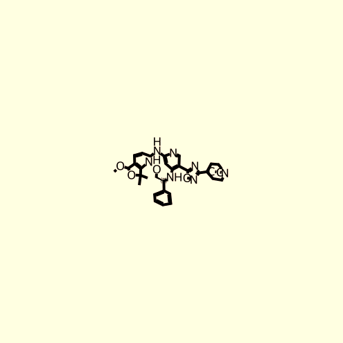 COC1OC(C)(C)c2nc(Nc3cc(N[C@H](CO)c4ccccc4)c(-c4nc(C56CCN(CC5)CC6)no4)cn3)ccc21